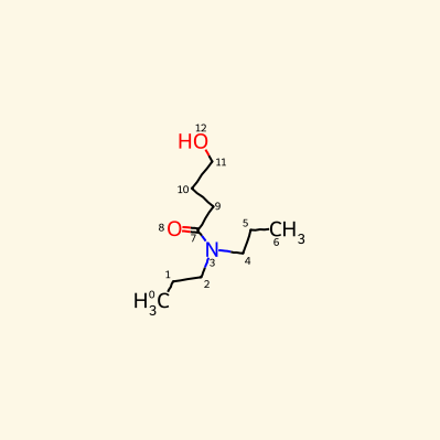 CCCN(CCC)C(=O)CCCO